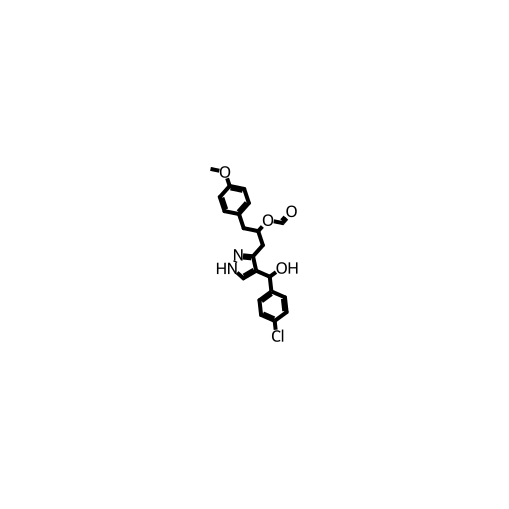 COc1ccc(CC(Cc2n[nH]cc2C(O)c2ccc(Cl)cc2)OC=O)cc1